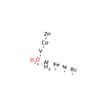 O.[AlH3].[Co].[Fe].[Ni].[Ru].[V].[Zn]